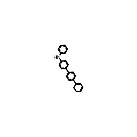 C1=CCCC(c2ccc(-c3ccc(Nc4ccccc4)cc3)cc2)=C1